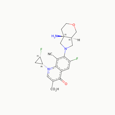 N#Cc1c(N2C[C@@H]3COCC[C@@]3(N)C2)c(F)cc2c(=O)c(C(=O)O)cn([C@@H]3C[C@@H]3F)c12